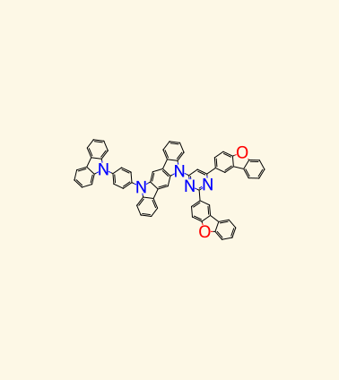 c1ccc2c(c1)oc1ccc(-c3cc(-n4c5ccccc5c5cc6c(cc54)c4ccccc4n6-c4ccc(-n5c6ccccc6c6ccccc65)cc4)nc(-c4ccc5oc6ccccc6c5c4)n3)cc12